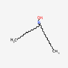 CCCCCC=CCC=CCCCCCCCCC1(CCCCCCCCC=CCC=CCCCCC)CN(CCO)C1